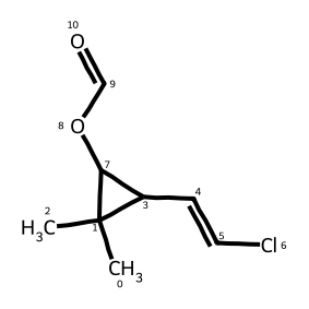 CC1(C)C(C=CCl)C1OC=O